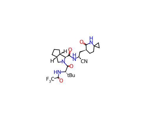 CC(C)(C)[C@H](NC(=O)C(F)(F)F)C(=O)N1C[C@@H]2CCC[C@@H]2[C@H]1C(=O)N[C@H](C#N)C[C@@H]1CCC2(CC2)NC1=O